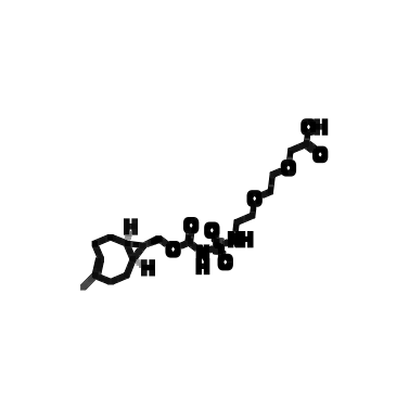 C/C1=C\CC[C@@H]2[C@H](CC1)[C@@H]2COC(=O)NS(=O)(=O)NCCOCCOCC(=O)O